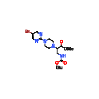 COC(=O)C(CNC(=O)OC(C)(C)C)N1CCN(c2ncc(Br)cn2)CC1